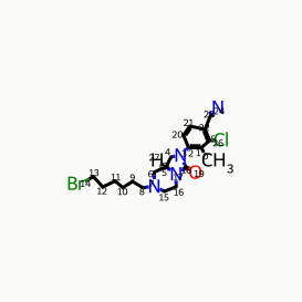 Cc1c(N2C[C@@H]3CN(CCCCCCBr)CCN3C2=O)ccc(C#N)c1Cl